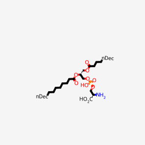 CCCCCCCCCCCCCCCCCC(=O)O[C@H](COC(=O)CCCCCCCCCCCCC)COP(=O)(O)OC[C@H](N)C(=O)O